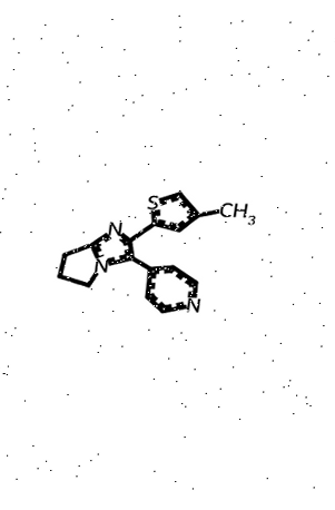 Cc1csc(-c2nc3n(c2-c2ccncc2)CCC3)c1